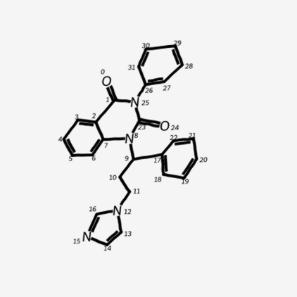 O=c1c2ccccc2n(C(CCn2ccnc2)c2ccccc2)c(=O)n1-c1ccccc1